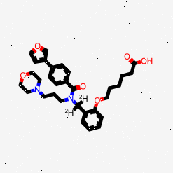 [2H]C([2H])(c1ccccc1OCCCCCC(=O)O)N(CCCN1CCOCC1)C(=O)c1ccc(-c2ccoc2)cc1